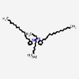 CCCCCCCCCCCCCC#CCCc1ccccc1/N=C(CCCC)\C(CCCCCCCC)=N\c1ccccc1CCC#CCCCCCCCCCCCCC.[Pd]